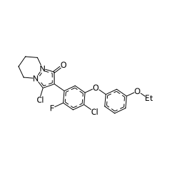 CCOc1cccc(Oc2cc(-c3c(Cl)n4n(c3=O)CCCC4)c(F)cc2Cl)c1